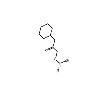 O=C(CO[PH](=O)O)CC1CCCCC1